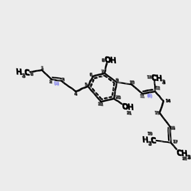 CC/C=C/Cc1cc(O)c(C/C=C(\C)CCC=C(C)C)c(O)c1